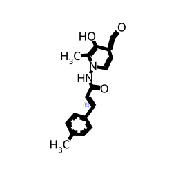 CC1=C(O)C(=C=O)C=CN1NC(=O)/C=C/c1ccc(C)cc1